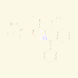 CCS/C(NB(c1ccccc1)c1ccccc1)=C(\C(C)=O)C(=O)OC(C)(C)C